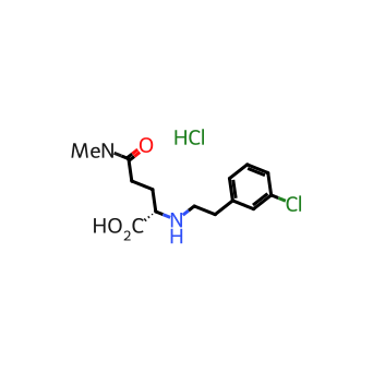 CNC(=O)CC[C@H](NCCc1cccc(Cl)c1)C(=O)O.Cl